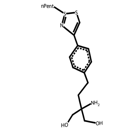 CCCCCS1=NC(c2ccc(CCC(N)(CO)CO)cc2)=CS1